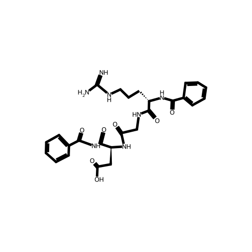 N=C(N)NCCC[C@H](NC(=O)c1ccccc1)C(=O)NCC(=O)N[C@@H](CC(=O)O)C(=O)NC(=O)c1ccccc1